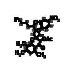 CC(=O)OC1C(=O)c2c(C)cc(C)c(C)c2OC1(CCC(C)CCCC(C)C)COc1ccc([N+](=O)[O-])cc1